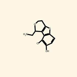 NCC1OCCc2sc3ccc(O)c(Cl)c3c21